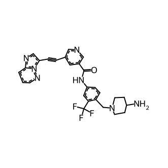 NC1CCN(Cc2ccc(NC(=O)c3cncc(C#Cc4cnc5cccnn45)c3)cc2C(F)(F)F)CC1